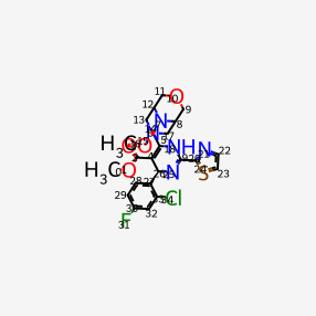 COC(=O)C1=C(CN2C3COCC2CN(OC)C3)NC(c2nccs2)=N[C@H]1c1ccc(F)cc1Cl